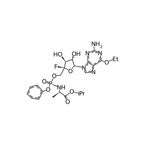 CCOc1nc(N)nc2c1ncn2C1O[C@](F)(COP(=O)(N[C@H](C)C(=O)OC(C)C)Oc2ccccc2)[C@@H](O)[C@H]1O